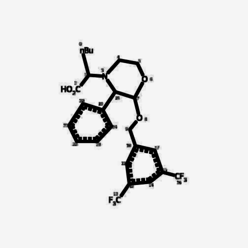 CCCCC(C(=O)O)N1CCOC(OCc2cc(C(F)(F)F)cc(C(F)(F)F)c2)C1c1ccccc1